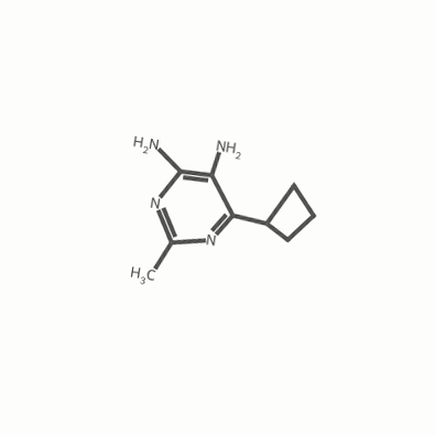 Cc1nc(N)c(N)c(C2CCC2)n1